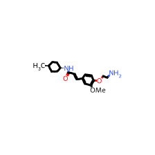 COc1cc(/C=C/C(=O)N[C@H]2CC[C@H](C)CC2)ccc1OCCN